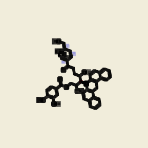 C\C=C(/C=C\C(O)=C\O)C(=O)CCC(O)COc1ccc2ccccc2c1Cc1c(OCC(O)COC(=O)c2ccc(O)c(O)c2)ccc2ccccc12